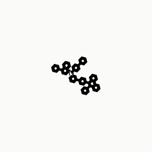 c1ccc(-c2ccc(N(c3cccc(-c4ccc(-c5c(-c6ccccc6)c6ccccc6c6ccccc56)cc4)c3)c3ccc(-c4ccccc4)c4ccccc34)cc2)cc1